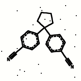 N#Cc1ccc(C2(c3ccc(C#N)cc3)CCCC2)cc1